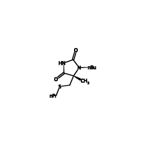 CCCCN1C(=O)NC(=O)[C@@]1(C)CSCCC